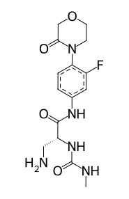 CNC(=O)N[C@H](CN)C(=O)Nc1ccc(N2CCOCC2=O)c(F)c1